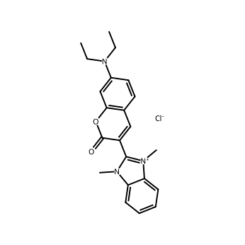 CCN(CC)c1ccc2cc(-c3n(C)c4ccccc4[n+]3C)c(=O)oc2c1.[Cl-]